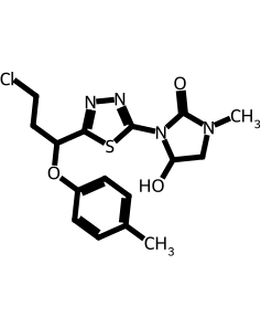 Cc1ccc(OC(CCCl)c2nnc(N3C(=O)N(C)CC3O)s2)cc1